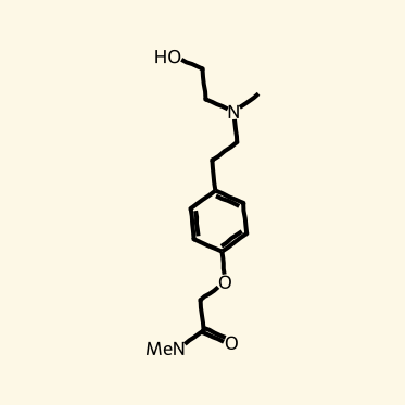 CNC(=O)COc1ccc(CCN(C)CCO)cc1